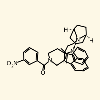 Cc1nc2ccccc2n1[C@H]1C[C@H]2CC[C@@H](C1)N2CCC1(c2ccccc2)CCN(C(=O)c2cccc([N+](=O)[O-])c2)CC1